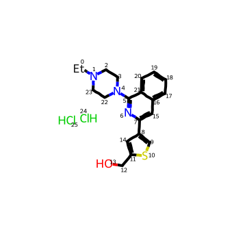 CCN1CCN(c2nc(-c3csc(CO)c3)cc3ccccc23)CC1.Cl.Cl